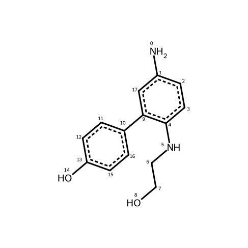 Nc1ccc(NCCO)c(-c2ccc(O)cc2)c1